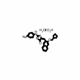 CC(=O)O.O=C1N=C(Nc2cc[c]([Na])cc2)SC1=Cc1cc2ccccc2cc1OCC1CCCC1